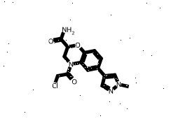 Cn1cc(-c2ccc3c(c2)N(C(=O)CCl)CC(C(N)=O)O3)cn1